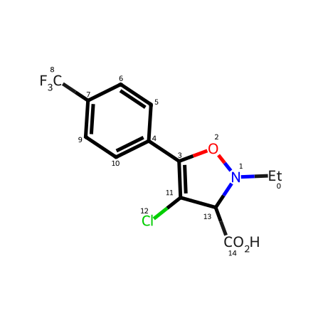 CCN1OC(c2ccc(C(F)(F)F)cc2)=C(Cl)C1C(=O)O